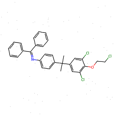 CC(C)(c1ccc(N=C(c2ccccc2)c2ccccc2)cc1)c1cc(Cl)c(OCCCl)c(Cl)c1